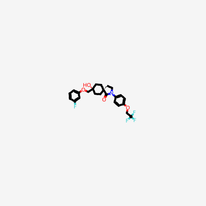 O=C1N(c2ccc(OCC(F)(F)F)cc2)CC[C@]12CC[C@](O)(COc1cccc(F)c1)CC2